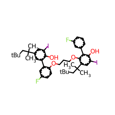 CC(C)(C)CC(C)(C)c1cc(I)c(O)c(-c2cc(F)ccc2OCCCOc2c(C(C)(C)CC(C)(C)C)cc(I)c(O)c2-c2cccc(F)c2)c1